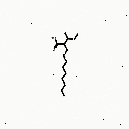 CCCCCCCCCC(C(=O)O)C(C)CC